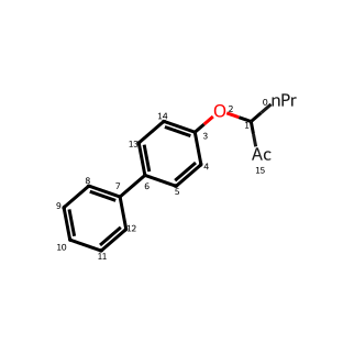 CCCC(Oc1ccc(-c2ccccc2)cc1)C(C)=O